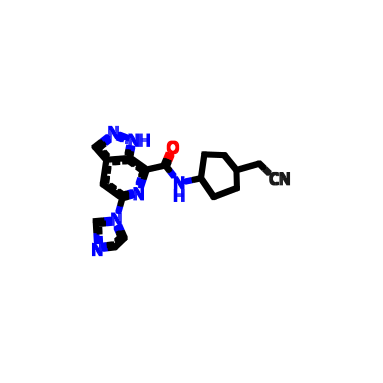 N#CCC1CCC(NC(=O)c2nc(-n3ccnc3)cc3cn[nH]c23)CC1